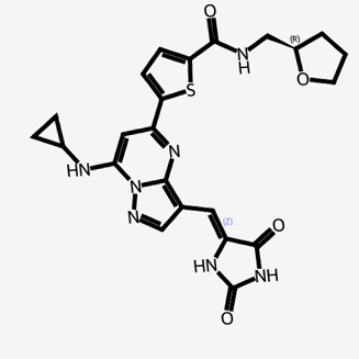 O=C1NC(=O)/C(=C/c2cnn3c(NC4CC4)cc(-c4ccc(C(=O)NC[C@H]5CCCO5)s4)nc23)N1